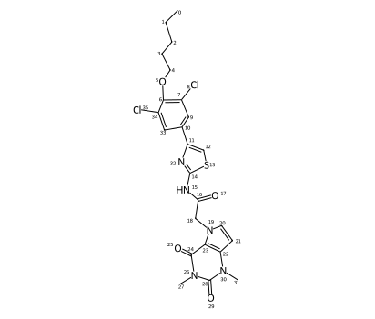 CCCCCOc1c(Cl)cc(-c2csc(NC(=O)Cn3ccc4c3c(=O)n(C)c(=O)n4C)n2)cc1Cl